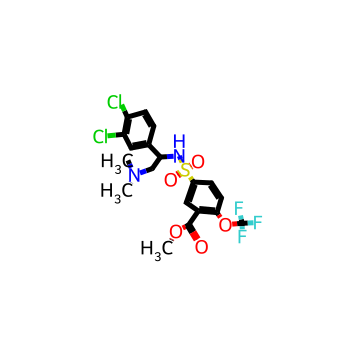 COC(=O)c1cc(S(=O)(=O)NC(CN(C)C)c2ccc(Cl)c(Cl)c2)ccc1OC(F)(F)F